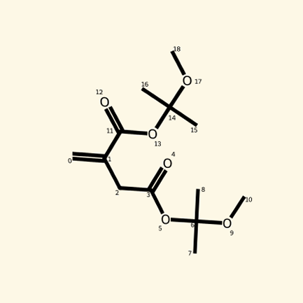 C=C(CC(=O)OC(C)(C)OC)C(=O)OC(C)(C)OC